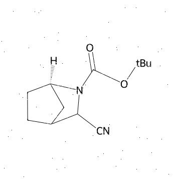 CC(C)(C)OC(=O)N1C(C#N)C2CC[C@@H]1C2